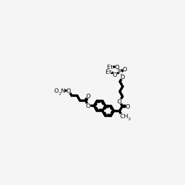 CCOP(=O)(OCC)OCCCCOC(=O)C(C)c1ccc2cc(OC(=O)CCCO[N+](=O)[O-])ccc2c1